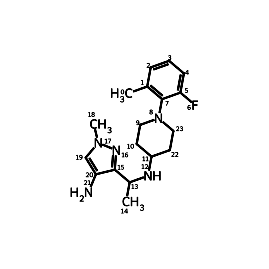 Cc1cccc(F)c1N1CCC(NC(C)c2nn(C)cc2N)CC1